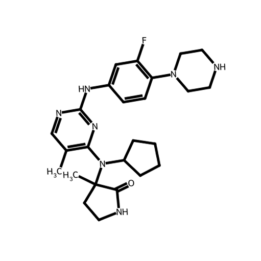 Cc1cnc(Nc2ccc(N3CCNCC3)c(F)c2)nc1N(C1CCCC1)C1(C)CCNC1=O